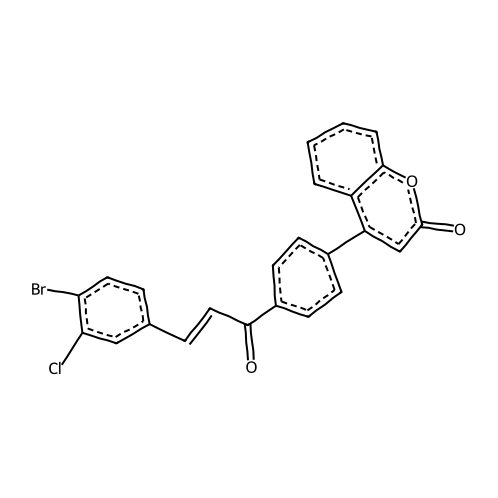 O=C(C=Cc1ccc(Br)c(Cl)c1)c1ccc(-c2cc(=O)oc3ccccc23)cc1